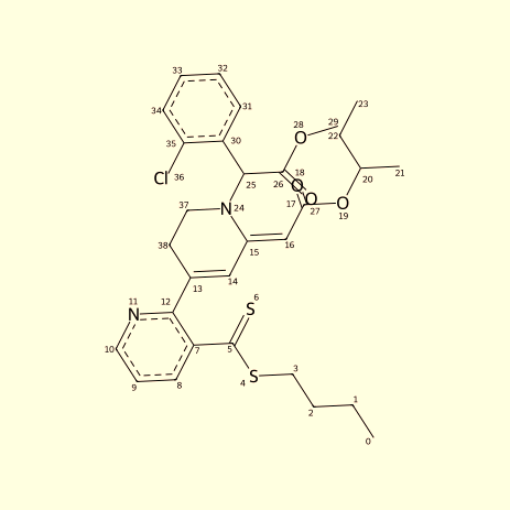 CCCCSC(=S)c1cccnc1C1=C/C(=C/C(=O)OC(C)CC)N(C(C(=O)OC)c2ccccc2Cl)CC1